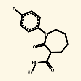 CC(C)NC(=O)C1CCCCN(c2ccc(F)cc2)C1=O